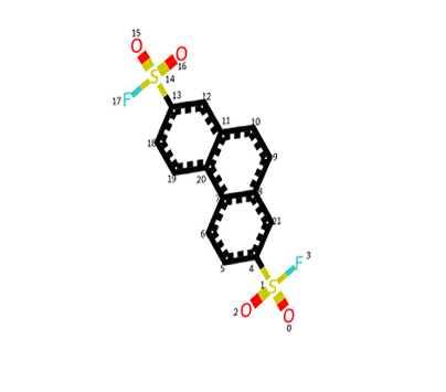 O=S(=O)(F)c1ccc2c(ccc3cc(S(=O)(=O)F)ccc32)c1